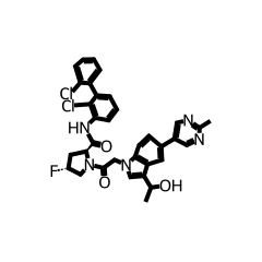 Cc1ncc(-c2ccc3c(c2)c(C(C)O)cn3CC(=O)N2C[C@H](F)C[C@H]2C(=O)Nc2cccc(-c3ccccc3Cl)c2Cl)cn1